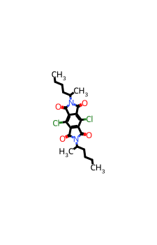 CCCCC(C)n1c(=O)c2c(Cl)c3c(=O)n(C(C)CCCC)c(=O)c3c(Cl)c2c1=O